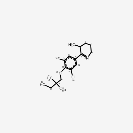 CC1CCCN=C1c1cc(F)c(OCC(C)(C)CO)c(Cl)c1